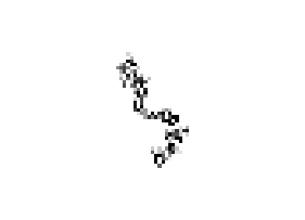 Cc1cccc(C)c1Nc1nn(C)c2nc(Nc3ccc4c(c3)CN(C3CN(C[C@H]5CCN(c6ccc7c(c6)C(=O)N(C6CCC(=O)NC6=O)C7=O)C5)C3)CC4)ncc12